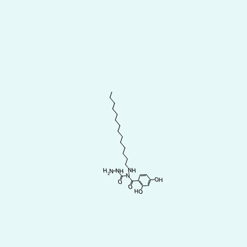 CCCCCCCCCCCCCCNN(C(=O)NN)C(=O)c1ccc(O)cc1O